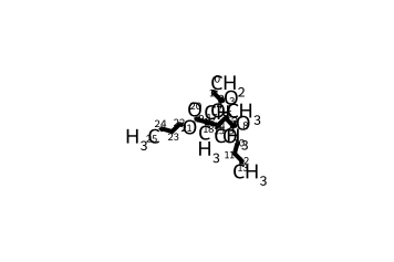 C=CC(=O)OC(C)(C(=O)OCCCC)C(C)C(C)(C)C(=O)OCCCC